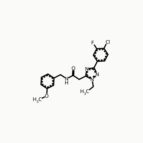 CCn1nc(-c2ccc(Cl)c(F)c2)nc1CC(=O)NCc1cccc(OC)c1